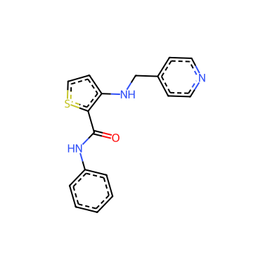 O=C(Nc1ccccc1)c1sccc1NCc1ccncc1